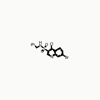 CC(C)CNS(=O)(=O)c1cnc2cc(Br)ccc2c1Cl